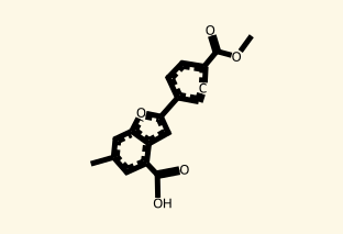 COC(=O)c1ccc(-c2cc3c(C(=O)O)cc(C)cc3o2)cc1